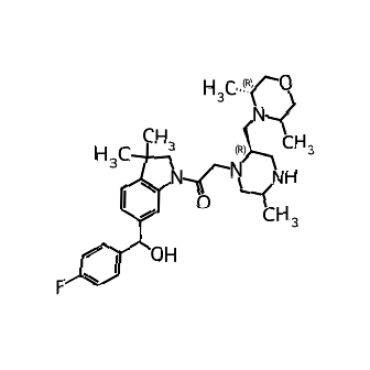 CC1CN(CC(=O)N2CC(C)(C)c3ccc(C(O)c4ccc(F)cc4)cc32)[C@@H](CN2C(C)COC[C@H]2C)CN1